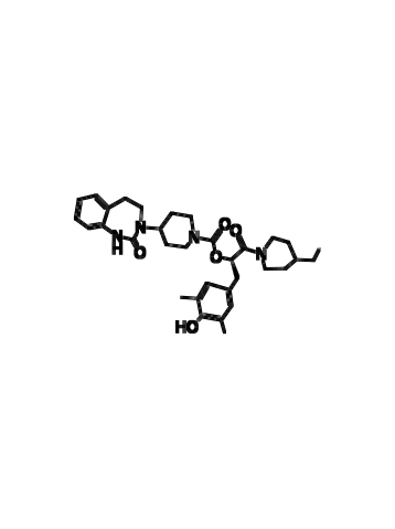 CCC1CCN(C(=O)[C@@H](Cc2cc(C)c(O)c(C)c2)OC(=O)N2CCC(N3CCc4ccccc4NC3=O)CC2)CC1